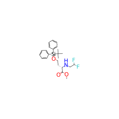 COC(=O)[C@H](CCO[Si](c1ccccc1)(c1ccccc1)C(C)(C)C)NCC(F)F